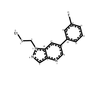 CCSCn1ncc2ncc(-c3cccc(F)c3)cc21